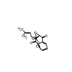 COC(=O)C12OC1(CC=C(C)C)C(=O)c1ccccc1C2=O